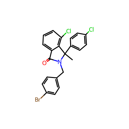 CC1(c2ccc(Cl)cc2)c2c(Cl)cccc2C(=O)N1Cc1ccc(Br)cc1